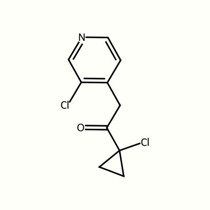 O=C(Cc1ccncc1Cl)C1(Cl)CC1